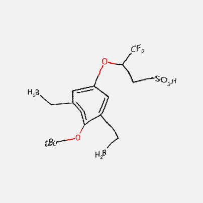 BCc1cc(OC(CS(=O)(=O)O)C(F)(F)F)cc(CB)c1OC(C)(C)C